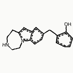 Oc1ccccc1Cc1ccc2c(c1)cc1n2CCNCC1